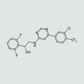 OC(CNc1cc(-c2ccc(C(F)(F)F)c(Cl)c2)ncn1)c1c(F)cccc1F